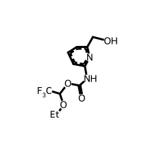 CCOC(OC(=O)Nc1cccc(CO)n1)C(F)(F)F